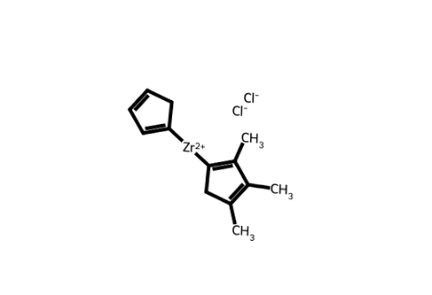 CC1=C(C)C(C)=[C]([Zr+2][C]2=CC=CC2)C1.[Cl-].[Cl-]